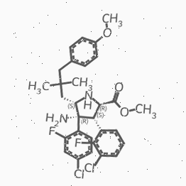 COC(=O)[C@@H]1N[C@@H](CC(C)(C)Cc2ccc(OC)cc2)[C@](N)(c2ccc(Cl)cc2F)[C@H]1c1cccc(Cl)c1F